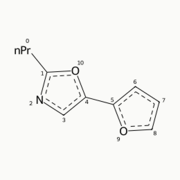 CCCc1ncc(-c2ccco2)o1